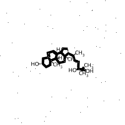 C[C@H](CC[C@H](O)C(C)(C)O)[C@H]1CC[C@H]2C3=CC=C4C[C@@H](O)CC[C@]4(C)[C@H]3CC[C@]12C